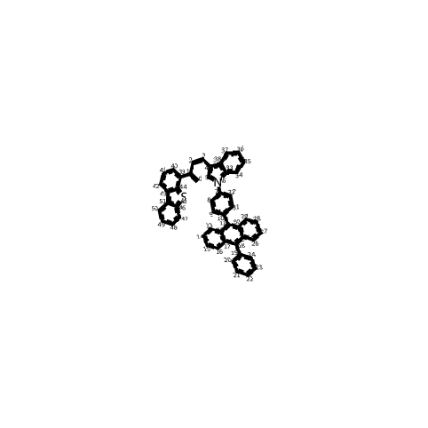 C=C(/C=C\c1cn(-c2ccc(-c3c4ccccc4c(-c4ccccc4)c4ccccc34)cc2)c2ccccc12)c1cccc2c1sc1ccccc12